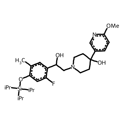 COc1ccc(C2(O)CCN(CC(O)c3cc(C)c(O[Si](C(C)C)(C(C)C)C(C)C)cc3F)CC2)cn1